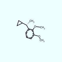 COc1cccc([C@@H](C)C2CC2)c1OC